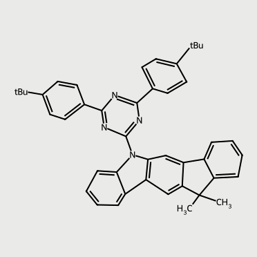 CC(C)(C)c1ccc(-c2nc(-c3ccc(C(C)(C)C)cc3)nc(-n3c4ccccc4c4cc5c(cc43)-c3ccccc3C5(C)C)n2)cc1